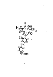 C=C(CO)C(=O)OCC(COC(=O)C(=C)CO)C1CCC(CCc2ccc(CCCCC)cc2)CC1CC